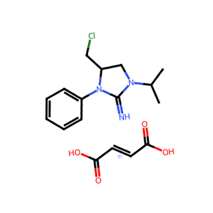 CC(C)N1CC(CCl)N(c2ccccc2)C1=N.O=C(O)/C=C/C(=O)O